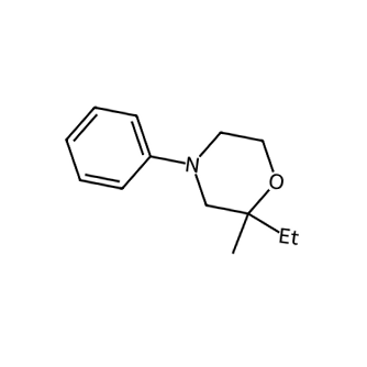 CCC1(C)CN(c2ccccc2)CCO1